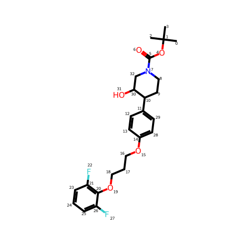 CC(C)(C)OC(=O)N1CCC(c2ccc(OCCCOc3c(F)cccc3F)cc2)C(O)C1